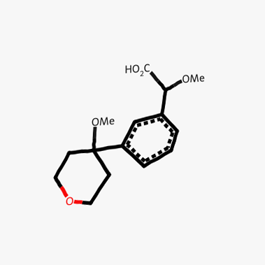 COC(C(=O)O)c1cccc(C2(OC)CCOCC2)c1